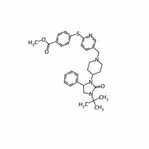 COC(=O)c1ccc(Sc2ccc(CN3CCC(N4C(=O)N(C(C)(C)C)CC4c4ccccc4)CC3)cn2)cc1